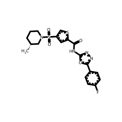 C[C@@H]1CCCN(S(=O)(=O)c2csc(C(=O)Nc3nnc(-c4ccc(F)cc4)o3)c2)C1